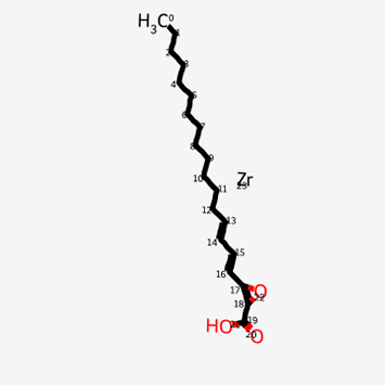 CCCCCCCCCCCCCC=CC=CC1=C(C(=O)O)O1.[Zr]